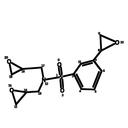 O=S(=O)(c1cccc(C2CO2)c1)N(CC1CO1)CC1CO1